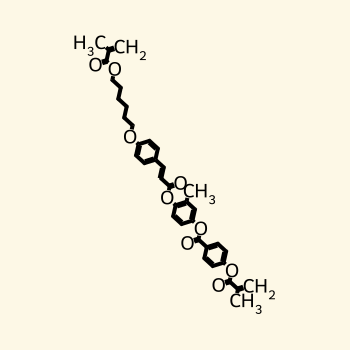 C=C(C)C(=O)OCCCCCCOc1ccc(/C=C/C(=O)Oc2ccc(OC(=O)c3ccc(OC(=O)C(=C)C)cc3)cc2C)cc1